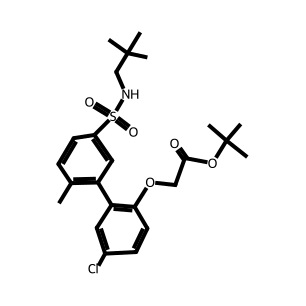 Cc1ccc(S(=O)(=O)NCC(C)(C)C)cc1-c1cc(Cl)ccc1OCC(=O)OC(C)(C)C